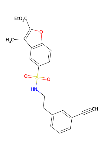 C#Cc1cccc(CCNS(=O)(=O)c2ccc3oc(C(=O)OCC)c(C)c3c2)c1